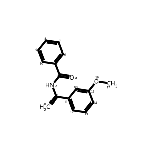 C=C(NC(=O)c1ccccc1)c1cccc(OC)c1